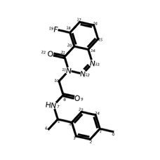 Cc1ccc(C(C)NC(=O)Cn2nnc3cccc(F)c3c2=O)cc1